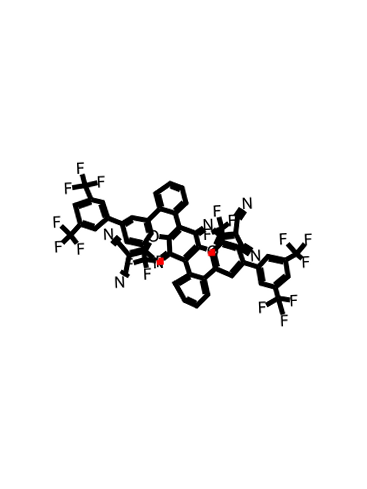 N#CC(C#N)=c1nc2c(-c3ccccc3-c3cc(-c4cc(C(F)(F)F)cc(C(F)(F)F)c4)cc(C(F)(F)F)c3)c3oc(=C(C#N)C#N)nc3c(-c3ccccc3-c3cc(-c4cc(C(F)(F)F)cc(C(F)(F)F)c4)cc(C(F)(F)F)c3)c2o1